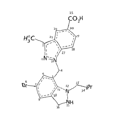 Cc1nn(Cc2cc(Br)cc3c2N(CC(C)C)NC3)c2ccc(C(=O)O)cc12